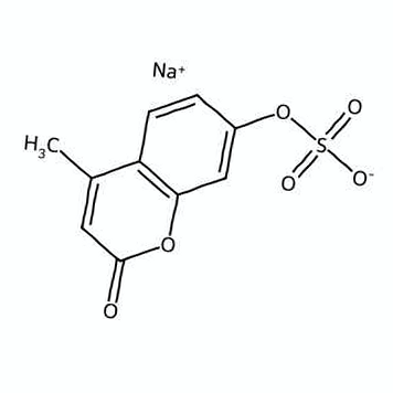 Cc1cc(=O)oc2cc(OS(=O)(=O)[O-])ccc12.[Na+]